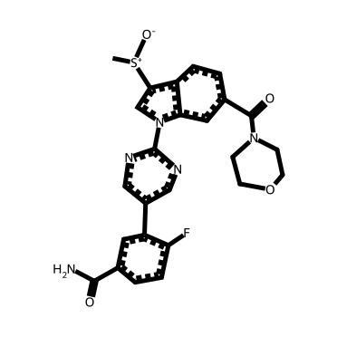 C[S+]([O-])c1cn(-c2ncc(-c3cc(C(N)=O)ccc3F)cn2)c2cc(C(=O)N3CCOCC3)ccc12